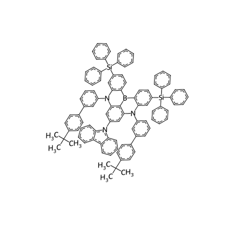 CC(C)(C)c1ccc(-c2cccc(N3c4cc([Si](c5ccccc5)(c5ccccc5)c5ccccc5)ccc4B4c5ccc([Si](c6ccccc6)(c6ccccc6)c6ccccc6)cc5N(c5cccc(-c6ccc(C(C)(C)C)cc6)c5)c5cc(-n6c7ccccc7c7ccccc76)cc3c54)c2)cc1